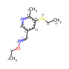 CCO/N=C/c1cnc(C)c(SCC)c1